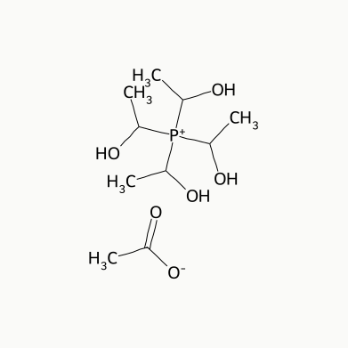 CC(=O)[O-].CC(O)[P+](C(C)O)(C(C)O)C(C)O